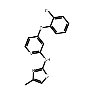 Cc1csc(Nc2cc(Oc3ccccc3Cl)ccn2)n1